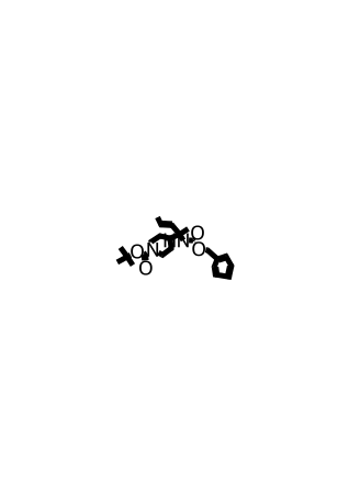 CC=CC(C)(NC(=O)OCc1ccccc1)C1CCN(C(=O)OC(C)(C)C)CC1